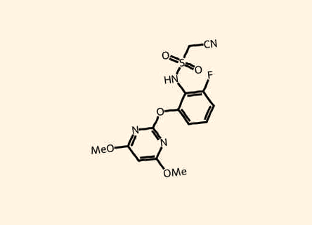 COc1cc(OC)nc(Oc2cccc(F)c2NS(=O)(=O)CC#N)n1